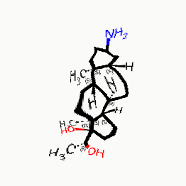 C[C@@H](O)[C@@]1(O)CC[C@H]2[C@@H]3CC[C@H]4CC(N)CC[C@]4(C)[C@H]3CC[C@@]21C